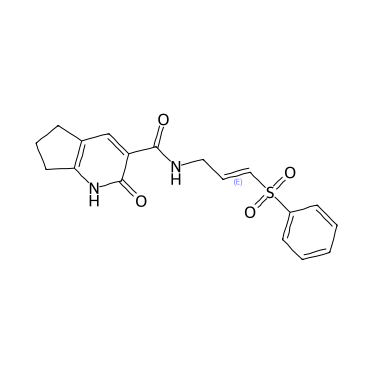 O=C(NC/C=C/S(=O)(=O)c1ccccc1)c1cc2c([nH]c1=O)CCC2